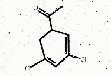 CC(=O)C1C=C(Cl)C=C(Cl)C1